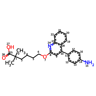 CC(C)(CCCCOc1cc(-c2ccc(N)cc2)c2ccccc2n1)C(=O)O